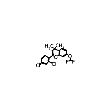 CC1(C)C=C(c2ccc(Cl)cc2Cl)Oc2cc(OC(F)F)ccc21